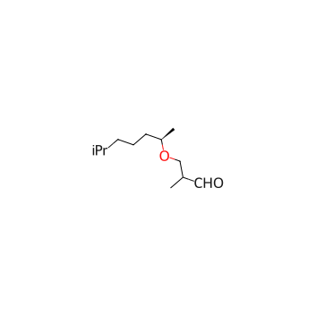 CC(C)CCC[C@@H](C)OCC(C)C=O